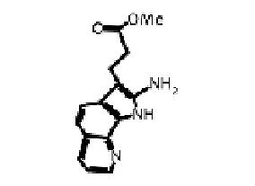 COC(=O)CCc1c(N)[nH]c2c1ccc1cccnc12